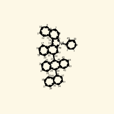 c1ccc(-n2c3ccc4ccccc4c3c3c4ccccc4c(-c4c5ccccc5c(-c5cccc6ccccc56)c5ccccc45)cc32)cc1